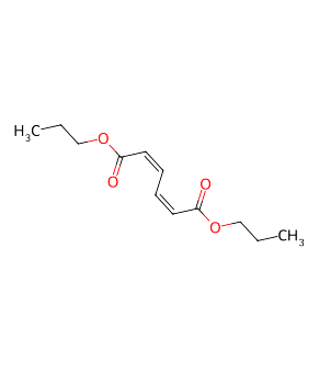 CCCOC(=O)/C=C\C=C/C(=O)OCCC